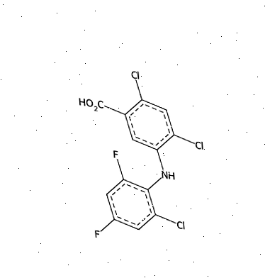 O=C(O)c1cc(Nc2c(F)cc(F)cc2Cl)c(Cl)cc1Cl